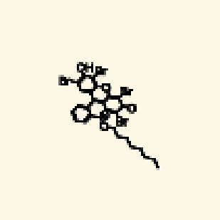 CCCCCCCCOC(=O)c1ccccc1-c1c2cc(Br)c(=O)c(Br)c-2oc2c(Br)c(O)c(Br)cc12